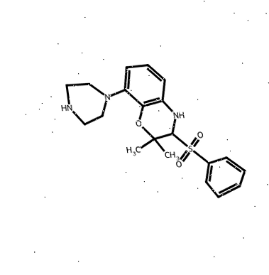 CC1(C)Oc2c(cccc2N2CCNCC2)NC1S(=O)(=O)c1ccccc1